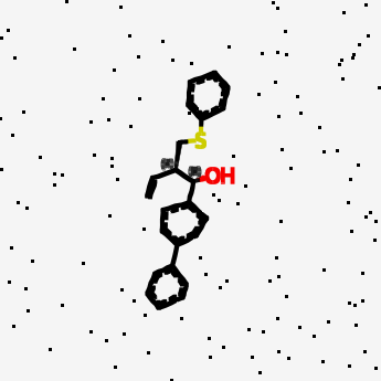 C=C[C@@H](CSc1ccccc1)[C@@H](O)c1ccc(-c2ccccc2)cc1